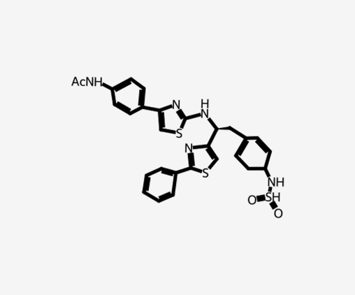 CC(=O)Nc1ccc(-c2csc(N[C@@H](CC3=CCC(N[SH](=O)=O)C=C3)c3csc(-c4ccccc4)n3)n2)cc1